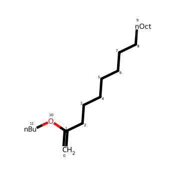 C=C(CCCCCCCCCCCCCCC)OCCCC